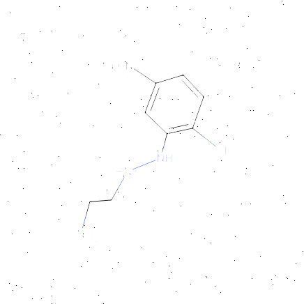 NCCNNc1cc([N+](=O)[O-])ccc1Cl